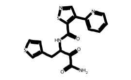 NC(=O)C(=O)C(Cc1ccsc1)NC(=O)c1sncc1-c1ccccn1